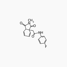 CN1C(=O)C2C=CC=CC2(CC(=O)Nc2ccc(F)cc2)C1=O